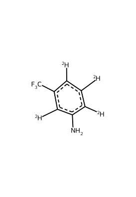 [2H]c1c([2H])c(N)c([2H])c(C(F)(F)F)c1[2H]